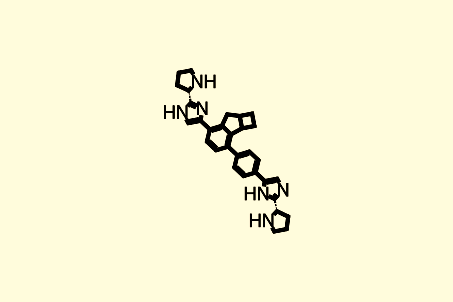 c1cc(-c2ccc(-c3c[nH]c([C@@H]4CCCN4)n3)c3c2C2CCC2C3)ccc1-c1cnc([C@@H]2CCCN2)[nH]1